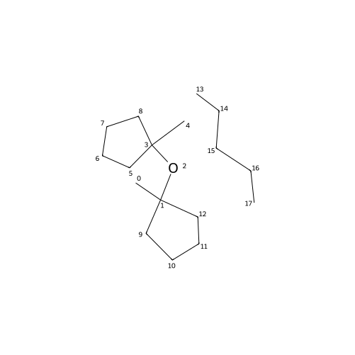 CC1(OC2(C)CCCC2)CCCC1.CCCCC